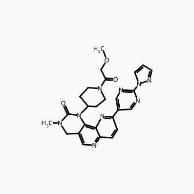 COCC(=O)N1CCC(N2C(=O)N(C)Cc3cnc4ccc(-c5cnc(-n6cccn6)nc5)nc4c32)CC1